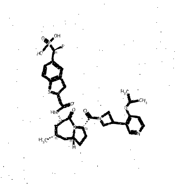 CC(C)Oc1ccncc1C1CN(C(=O)[C@@H]2CC[C@@H]3C[C@H](C)C[C@H](NC(=O)C4Cc5cc([C@H](F)P(=O)(O)O)ccc5S4)C(=O)N32)C1